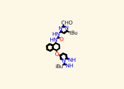 CCC(C)C(=N)n1cc(OC2CCC(NC(=O)Nc3cc(C(C)(C)C)nc(C=O)n3)c3ccccc32)ccc1=N